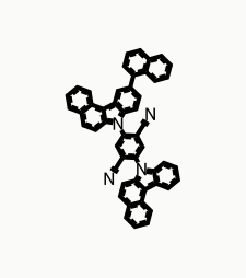 N#Cc1cc(-n2c3ccc(-c4cccc5ccccc45)cc3c3c4ccccc4ccc32)c(C#N)cc1-n1c2ccccc2c2c3ccccc3ccc21